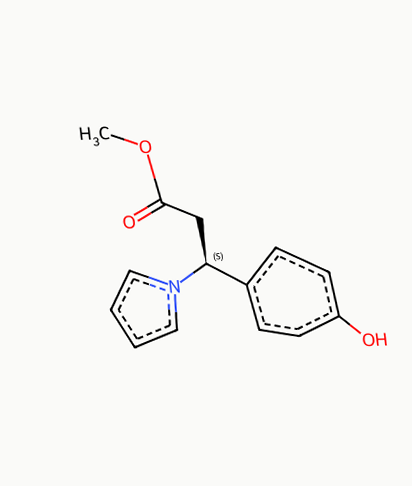 COC(=O)C[C@@H](c1ccc(O)cc1)n1cccc1